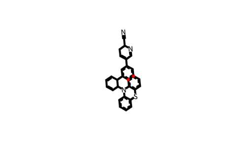 N#CC1CC=C(c2cccc(C3C=CC=CC3N3c4ccccc4Sc4ccccc43)c2)C=N1